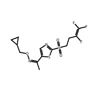 C/C(=N/OCC1CC1)c1cnc(S(=O)(=O)CCC(F)=C(F)F)s1